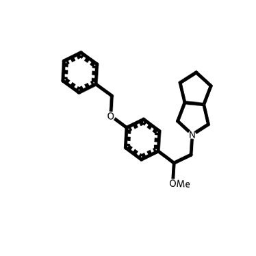 COC(CN1CC2CCCC2C1)c1ccc(OCc2ccccc2)cc1